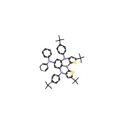 CC(C)(C)c1ccc(N2c3cc(C(C)(C)C)sc3B3c4sc(C(C)(C)C)cc4N(c4ccc(C(C)(C)C)cc4)c4cc(N(C5=CCCC=C5)c5ccccc5)cc2c43)cc1